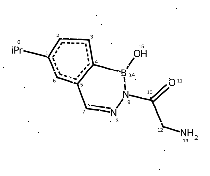 CC(C)c1ccc2c(c1)C=NN(C(=O)CN)B2O